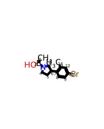 CB(O)N1CCC(c2ccc(Br)cc2C)C1